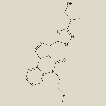 COCCn1c(=O)c2c(-c3nc(C(C)CO)no3)ncn2c2ccccc21